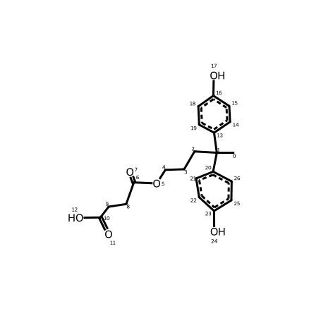 CC(CCCOC(=O)CCC(=O)O)(c1ccc(O)cc1)c1ccc(O)cc1